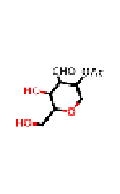 CC(=O)OC1COC(CO)C(O)C1C=O